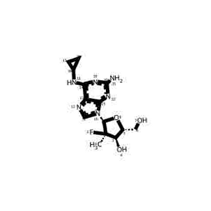 C[C@@]1(F)[C@H](O)[C@@H](CO)O[C@H]1n1cnc2c(NC3CC3)nc(N)nc21